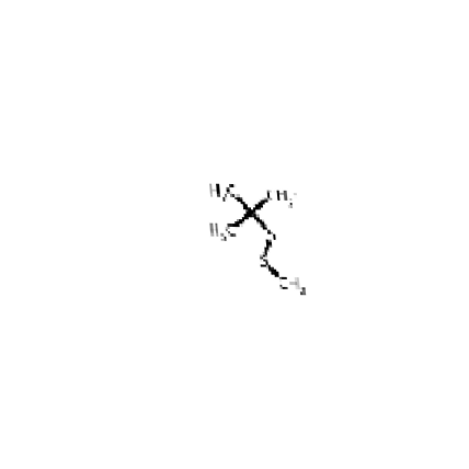 [CH2]C(C)(C)SSC